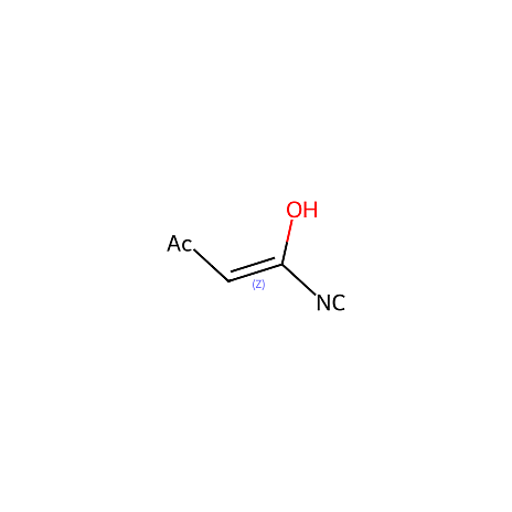 [C-]#[N+]/C(O)=C/C(C)=O